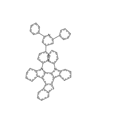 c1ccc(-c2cc(-c3ccc(-n4c5ccccc5c5c6c7ccccc7sc6c6c7ccccc7n(-c7ccccc7)c6c54)cc3)cc(-c3ccccc3)n2)cc1